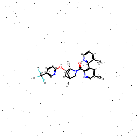 Cc1cnc(C(=O)N2C[C@H]3C[C@@H](Oc4ccc(C(F)(F)F)cn4)[C@@H]2C3)c(-c2ncccc2C)c1